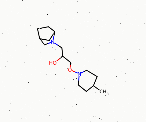 CC1CCN(OCC(O)CN2CC3CCC2C3)CC1